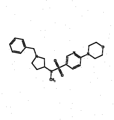 CN(C1CCN(Cc2ccccc2)C1)S(=O)(=O)c1ccc(N2CCOCC2)nc1